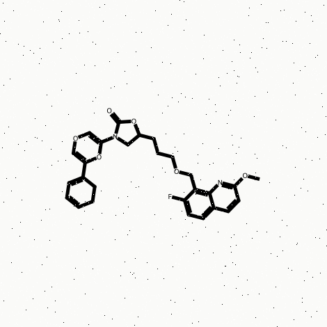 COc1ccc2ccc(F)c(COCCCC3CN(C4=COC=C(C5=CC=CCC5)O4)C(=O)O3)c2n1